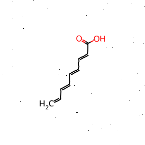 C=CC=CC=C/C=C/C(=O)O